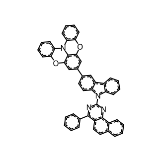 c1ccc(-c2nc(-n3c4ccccc4c4cc(-c5cc6c7c(c5)Oc5ccccc5N7c5ccccc5O6)ccc43)nc3c2ccc2ccccc23)cc1